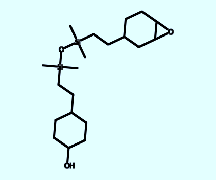 C[Si](C)(CCC1CCC(O)CC1)O[Si](C)(C)CCC1CCC2OC2C1